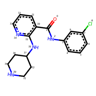 O=C(Nc1cccc(Cl)c1)c1cccnc1NC1CCNCC1